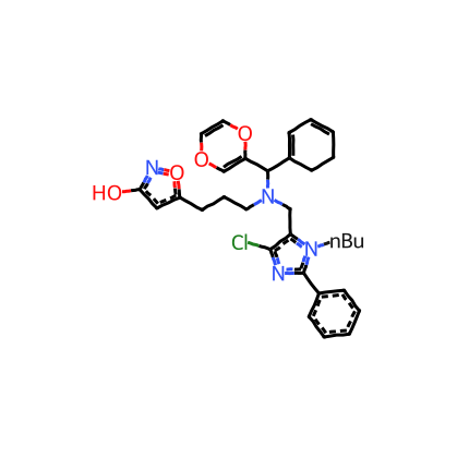 CCCCn1c(-c2ccccc2)nc(Cl)c1CN(CCCc1cc(O)no1)C(C1=CC=CCC1)C1=COC=CO1